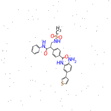 CS(=O)(=O)NCC(C(=O)Nc1ccccc1)c1ccc(C(=O)Nc2cc(-c3ccsc3)ccc2N)cc1